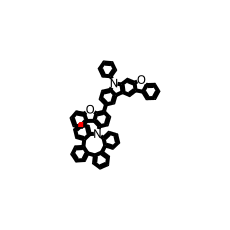 c1ccc(-n2c3ccc(-c4ccc(-n5c6ccccc6c6ccccc6c6ccccc6c6ccccc65)c5c4oc4ccccc45)cc3c3cc4c(cc32)oc2ccccc24)cc1